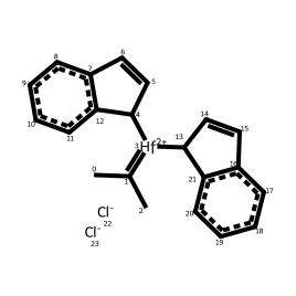 C[C](C)=[Hf+2]([CH]1C=Cc2ccccc21)[CH]1C=Cc2ccccc21.[Cl-].[Cl-]